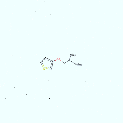 CCCCCCC(CCCC)COc1ccsc1